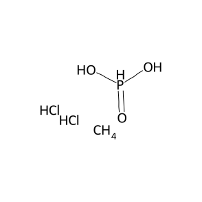 C.Cl.Cl.O=[PH](O)O